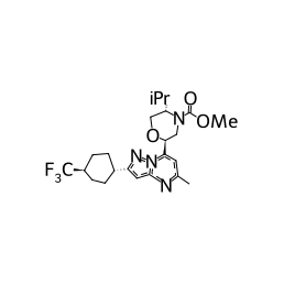 COC(=O)N1C[C@@H](c2cc(C)nc3cc([C@H]4CC[C@H](C(F)(F)F)CC4)nn23)OC[C@@H]1C(C)C